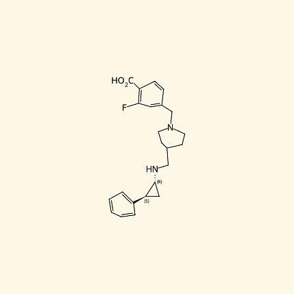 O=C(O)c1ccc(CN2CCC(CN[C@@H]3C[C@H]3c3ccccc3)CC2)cc1F